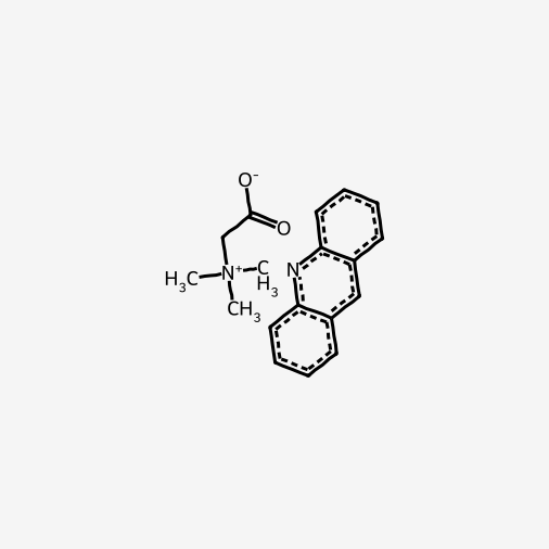 C[N+](C)(C)CC(=O)[O-].c1ccc2nc3ccccc3cc2c1